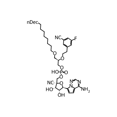 CCCCCCCCCCCCCCCCCCOC[C@H](COP(=O)(O)OC[C@@]1(C#N)O[C@@H](c2ccc3c(N)ncnn23)[C@H](O)[C@@H]1O)OCCc1cc(F)cc(C#N)c1